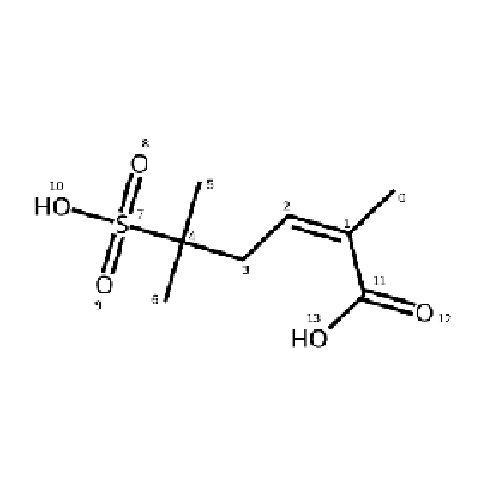 CC(=CCC(C)(C)S(=O)(=O)O)C(=O)O